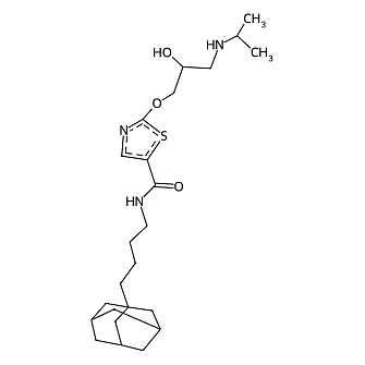 CC(C)NCC(O)COc1ncc(C(=O)NCCCCC23CC4CC(CC(C4)C2)C3)s1